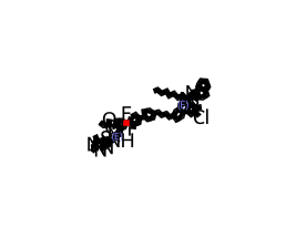 C=CC(=O)Oc1ccc(-c2c(F)cc(C3CCC(CCCCC4CCC(c5ccc(C)c(Cl)c5)C(/C=N/N(CCCCCCCC)c5nc6c(ccc7ccccc76)s5)C4)CC3)cc2F)cc1/C=N/Nc1nc2nc(C)nc(C)c2s1